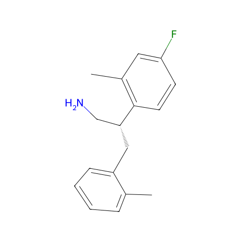 Cc1ccccc1C[C@H](CN)c1ccc(F)cc1C